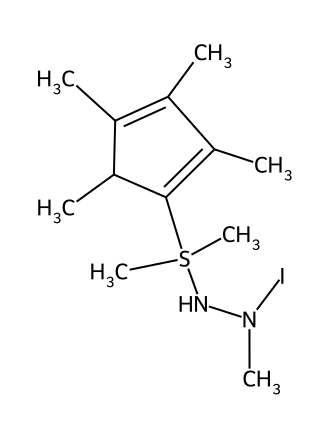 CC1=C(C)C(C)C(S(C)(C)NN(C)I)=C1C